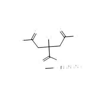 CO.O=C([O-])CC(O)(CC(=O)[O-])C(=O)[O-].[Na+].[Na+].[Na+]